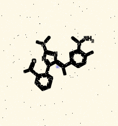 CC(=O)c1ccccc1C1=NC(N(C)C)=N/C1=C(/C)c1ccc(C)c(N(C)N)c1